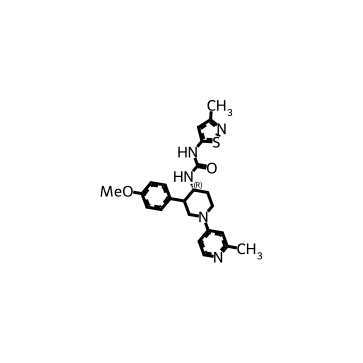 COc1ccc(C2CN(c3ccnc(C)c3)CC[C@H]2NC(=O)Nc2cc(C)ns2)cc1